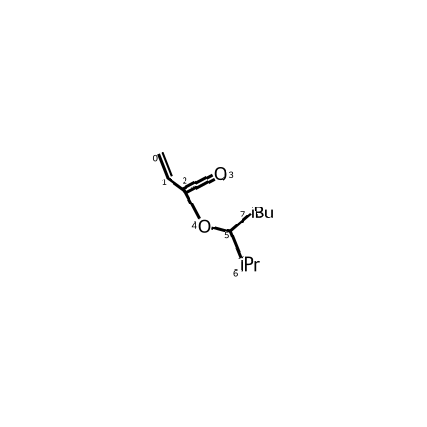 C=CC(=O)OC(C(C)C)C(C)CC